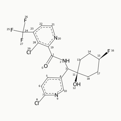 O=C(NC(c1ccc(Cl)nc1)[C@]1(O)CC[C@@H](F)CC1)c1nccc(C(F)(F)F)c1Cl